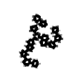 C1=CC2c3ccccc3N(c3cccc(-c4nc(-c5ccc6cc(-c7cccc(-c8cccc(-c9ccccc9)c8)c7)ccc6c5)nc(-c5cccc6c(-c7cccc(-c8cccc(-c9ccccc9)c8)c7)cccc56)n4)c3)C2C=C1